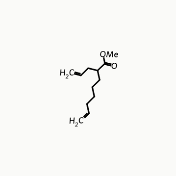 C=CCCCCC(CC=C)C(=O)OC